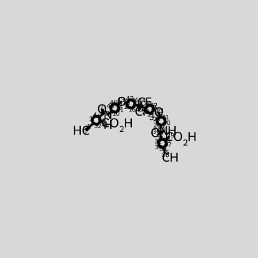 C#Cc1ccc(C(=O)Nc2ccc(Oc3ccc(C(c4ccc(Oc5ccc(NC(=O)c6ccc(C#C)cc6C(=O)O)cc5)cc4)(C(F)(F)F)C(F)(F)F)cc3)cc2)c(C(=O)O)c1